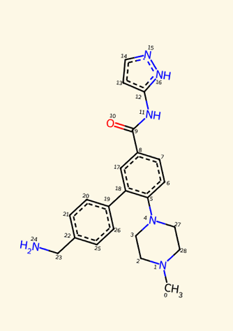 CN1CCN(c2ccc(C(=O)Nc3ccn[nH]3)cc2-c2ccc(CN)cc2)CC1